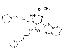 CSC1=NC(c2ccc3ccccc3n2)C(C(=O)OCCCc2ccccc2)=C(COCCN2CCCCC2)N1